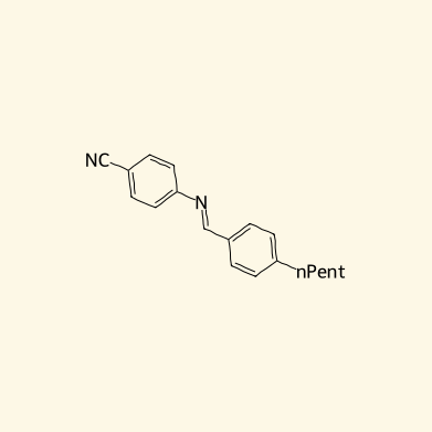 CCCCCc1ccc(/C=N/c2ccc(C#N)cc2)cc1